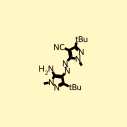 Cn1nc(C(C)(C)C)c(N=Nc2c(C#N)c(C(C)(C)C)nn2C)c1N